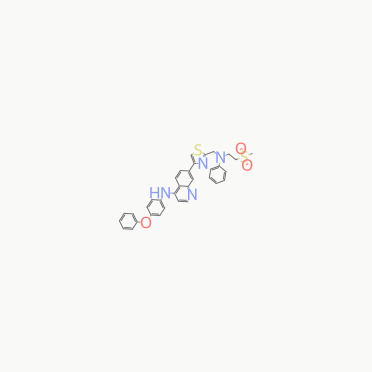 CS(=O)(=O)CCN(Cc1nc(-c2ccc3c(Nc4ccc(Oc5ccccc5)cc4)ccnc3c2)cs1)c1ccccc1